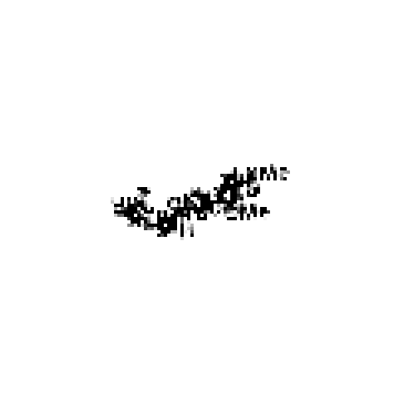 CNC(=O)n1ccc2cc(Oc3ccnc(NC(=O)c4ccc(CN5C[C@@H](C)N[C@@H](C)C5)s4)c3)c(OC)cc21